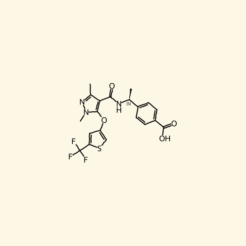 Cc1nn(C)c(Oc2csc(C(F)(F)F)c2)c1C(=O)N[C@@H](C)c1ccc(C(=O)O)cc1